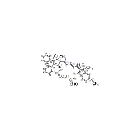 CC1(C)C(/C=C/C=C/C=C2\N(CCOC=O)c3ccc(OC(F)(F)F)cc3C2(C)C)=[N+](CCC(=O)O)c2c1c1ccccc1c1ccccc21